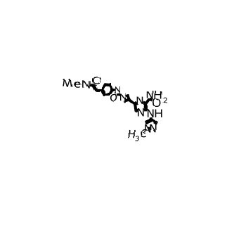 CNC(=O)Cc1ccc2nc(N3CC(c4cnc(Nc5cnn(C)c5)c(C(N)=O)n4)C3)oc2c1